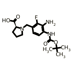 CC(C)(C)OC(=O)Nc1ccc(CN2CCC[C@H]2C(=O)O)c(F)c1N